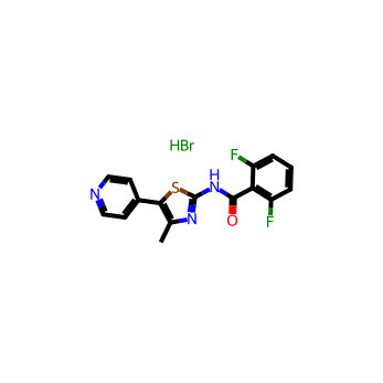 Br.Cc1nc(NC(=O)c2c(F)cccc2F)sc1-c1ccncc1